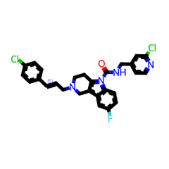 O=C(NCc1ccnc(Cl)c1)n1c2c(c3cc(F)ccc31)CN(C/C=C/c1ccc(Cl)cc1)CC2